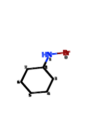 BrNC1CCCCC1